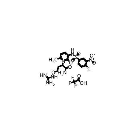 Cc1ccc(NS(=O)(=O)c2ccc(Cl)c([N+](=O)[O-])c2)c(=O)n1C(CCONC(=N)N)C(N)=O.O=C(O)C(F)(F)F